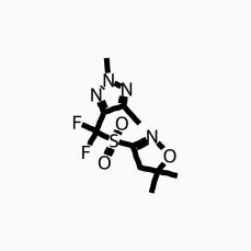 Cc1nn(C)nc1C(F)(F)S(=O)(=O)C1=NOC(C)(C)C1